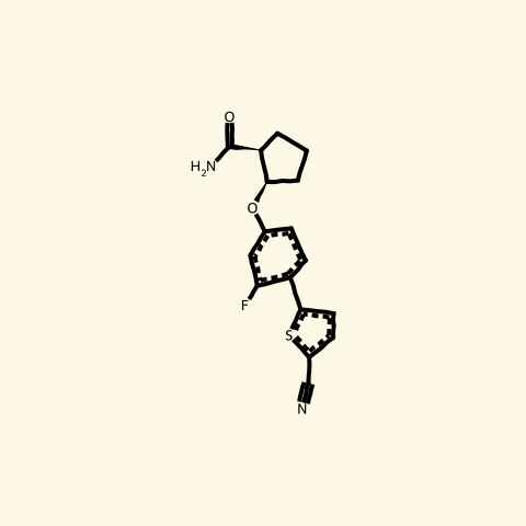 N#Cc1ccc(-c2ccc(O[C@@H]3CCC[C@@H]3C(N)=O)cc2F)s1